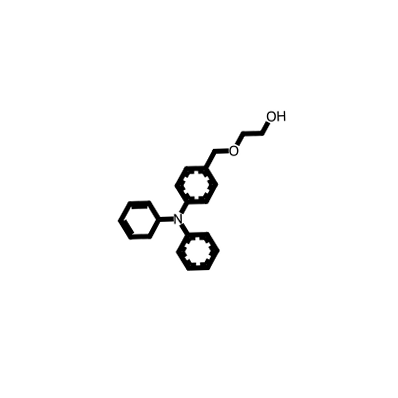 OCCOCc1ccc(N(c2ccccc2)C2C=CC=CC2)cc1